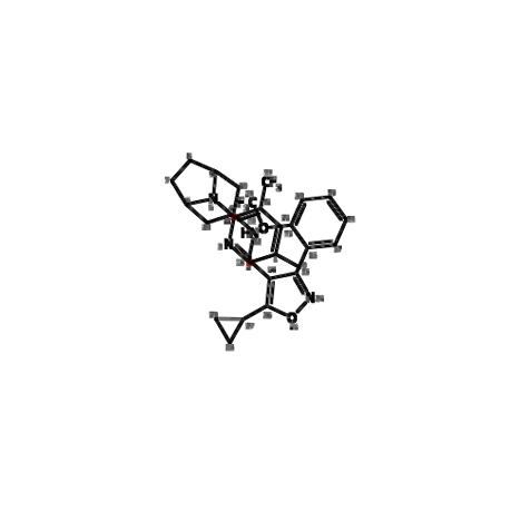 Cc1cnc(N2C3CCC2CC(NCc2c(-c4ccccc4OC(F)(F)F)noc2C2CC2)C3)c(C(F)(F)F)c1